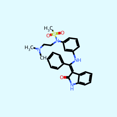 CN(C)CCN(c1cccc(NC(=C2C(=O)Nc3ccccc32)c2ccccc2)c1)S(C)(=O)=O